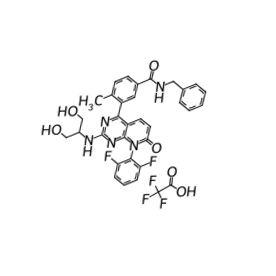 Cc1ccc(C(=O)NCc2ccccc2)cc1-c1nc(NC(CO)CO)nc2c1ccc(=O)n2-c1c(F)cccc1F.O=C(O)C(F)(F)F